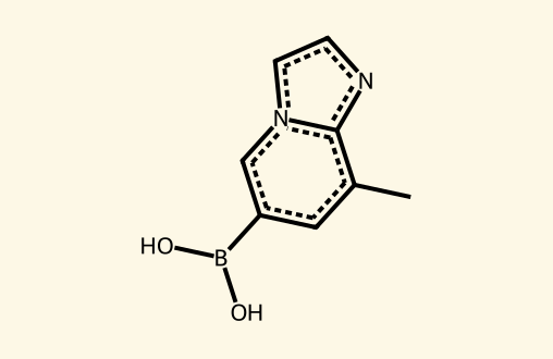 Cc1cc(B(O)O)cn2ccnc12